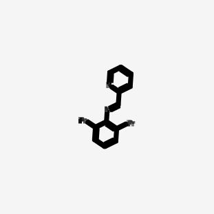 CC(C)c1cccc(C(C)C)c1/N=C/c1ccccn1